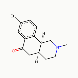 CCc1ccc2c(c1)C(=O)C[C@@H]1CCN(C)C[C@H]21